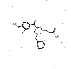 COc1ccc(C(=O)N(CCCCC(=O)O)CCCc2ccccc2)cc1F